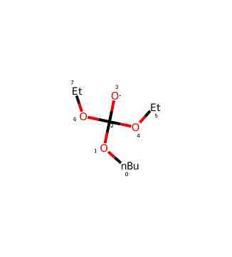 CCCCOC([O])(OCC)OCC